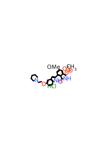 COc1cc(-c2cc3cc(OCCN4CCCCC4)ccc3[nH]2)c2c(c1OS(C)(=O)=O)CNC2=O.Cl